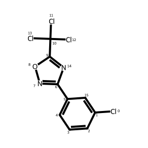 Clc1cccc(-c2noc(C(Cl)(Cl)Cl)n2)c1